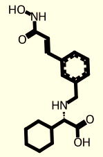 O=C(C=Cc1cccc(CN[C@H](C(=O)O)C2CCCCC2)c1)NO